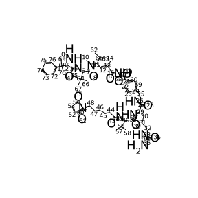 CN[C@H](C(=O)N[C@H](C(=O)N(C)[C@H](/C=C(\C)C(=O)NS(=O)(=O)c1ccc(CNC(=O)[C@H](CCCNC(N)=O)NC(=O)[C@@H](NC(=O)CCCCCN2C(=O)C=CC2=O)C(C)C)cc1)C(C)C)C(C)(C)C)C(C)(C)c1ccccc1